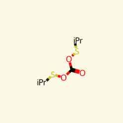 CC(C)SOC(=O)OSC(C)C